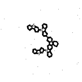 c1ccc2c(c1)sc1cc(-n3c4ccccc4c4cc(-c5ccc6c(c5)-c5cc7c(cc5C65CCCCC5)c5ccccc5n7-c5ccc6c(c5)sc5ccccc56)ccc43)ccc12